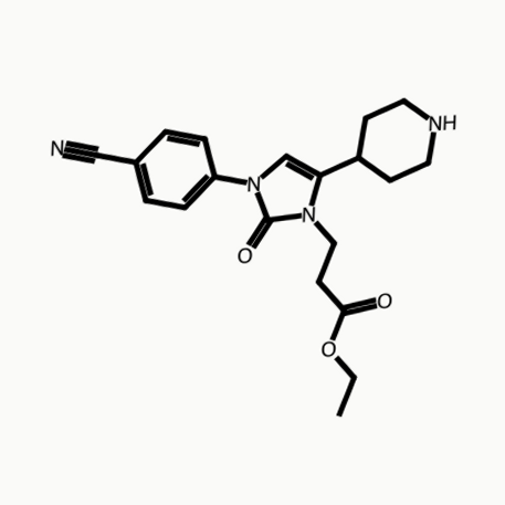 CCOC(=O)CCn1c(C2CCNCC2)cn(-c2ccc(C#N)cc2)c1=O